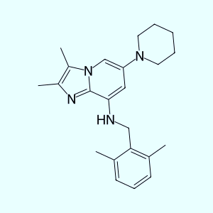 Cc1cccc(C)c1CNc1cc(N2CCCCC2)cn2c(C)c(C)nc12